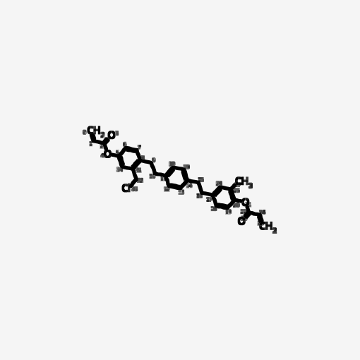 C=CC(=O)Oc1ccc(CCc2ccc(CCc3ccc(OC(=O)C=C)c(C)c3)cc2)c(CCl)c1